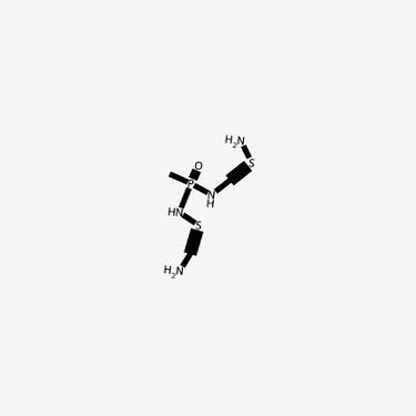 CP(=O)(NC#SN)NS#CN